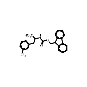 O=C(NC(Cc1cccc(C(F)(F)F)c1)C(=O)O)OCC1c2ccccc2-c2ccccc21